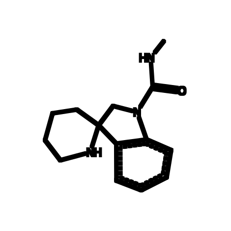 CNC(=O)N1CC2(CCCCN2)c2ccccc21